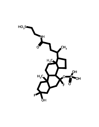 CC(CCC(=O)NCCS(=O)(=O)O)C1CCC2C3C(CCC12C)C1(C)CCC(O)(F)CC1CC3(F)OP(=O)(O)O